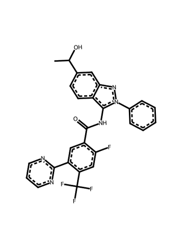 CC(O)c1ccc2c(NC(=O)c3cc(-c4ncccn4)c(C(F)(F)F)cc3F)n(-c3ccccc3)nc2c1